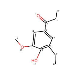 CCC(=O)c1cc(CC)c(O)c(OC)c1